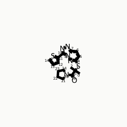 CC(C)(Sc1ccc2nnc(-c3cccs3)n2n1)C(=O)N1CCCC1